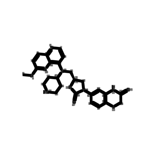 COc1ccc2nccc(N(C[C@H]3CN(c4ccc5c(c4)NC(=O)CS5)C(=O)O3)C3CCNCC3)c2n1